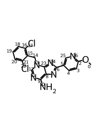 COc1ccc(-c2nc3c(N)ncn(Cc4c(Cl)cccc4Cl)c-3n2)cn1